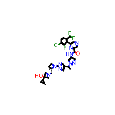 CC(c1cnc(N2CC[C@H]2CN2CC(O)(C3CC3)C2)nc1)n1cc(NC(=O)c2cncc(-c3c(C(F)F)ccc(Cl)c3F)n2)cn1